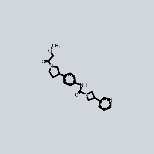 COCC(=O)N1CCC(c2ccc(NC(=O)N3CC(c4cccnc4)C3)cc2)C1